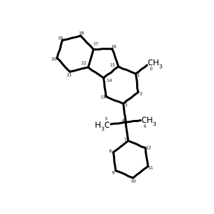 CC1CC(C(C)(C)C2CCCCC2)CC2C1CC1CCCCC12